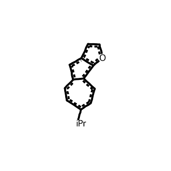 CC(C)c1ccc2cc3ccoc3c-2cc1